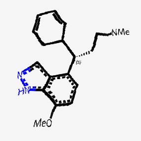 CNCC[C@H](c1ccc(OC)c2[nH]ncc12)C1C=CC=CC1